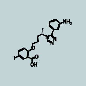 C[C@@H](CCCOc1ccc(I)cc1C(=O)O)n1cnnc1-c1cccc(N)c1